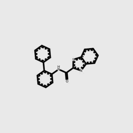 O=C(Nc1ccccc1-c1ccccc1)c1nc2ccccc2s1